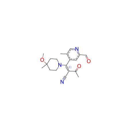 COC1(C)CCN(/C(=C(\C#N)C(C)=O)c2cc(C=O)ncc2C)CC1